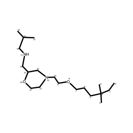 CCC(C)(C)CCCOCCN1CCOC(CNCC(C)C)C1